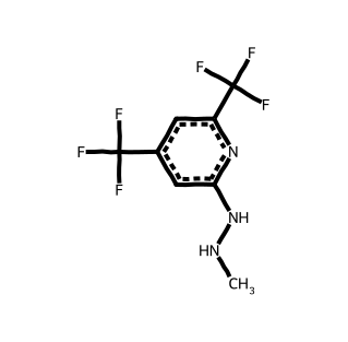 CNNc1cc(C(F)(F)F)cc(C(F)(F)F)n1